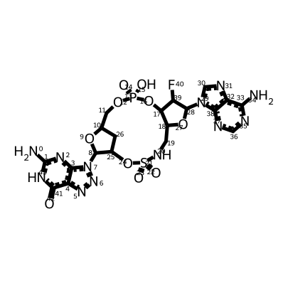 Nc1nc2c(nnn2C2OC3COP(=O)(O)OC4C(CNS(=O)(=O)OC2C3)OC(n2cnc3c(N)ncnc32)C4F)c(=O)[nH]1